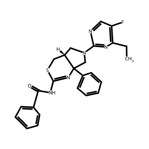 CCc1nc(N2C[C@H]3CSC(NC(=O)c4ccccc4)=NC3(c3ccccc3)C2)ncc1F